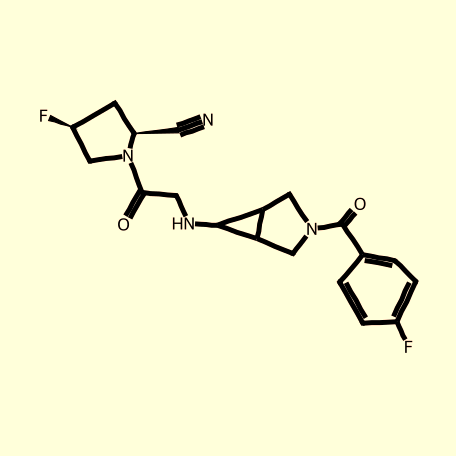 N#C[C@@H]1C[C@H](F)CN1C(=O)CNC1C2CN(C(=O)c3ccc(F)cc3)CC21